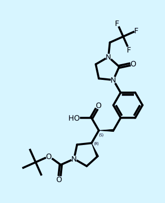 CC(C)(C)OC(=O)N1CC[C@H]([C@H](Cc2cccc(N3CCN(CC(F)(F)F)C3=O)c2)C(=O)O)C1